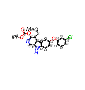 COCc1c(OC(=O)OC(C)C)ncc2[nH]c3ccc(Oc4cccc(Cl)c4)cc3c12